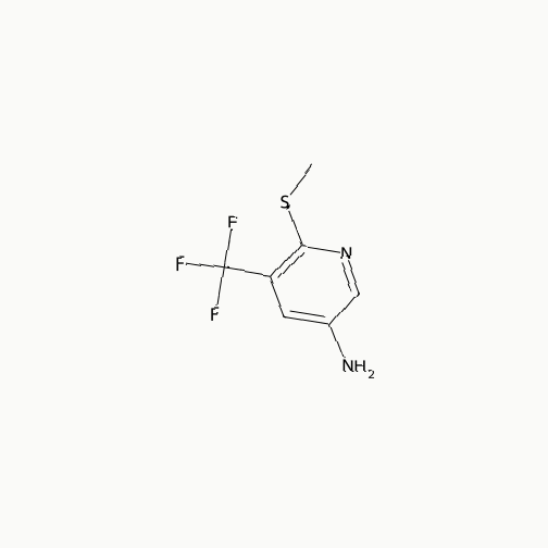 CSc1ncc(N)cc1C(F)(F)F